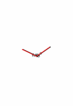 CCCCCCCCCCCCCCCCCCOCCCNC(=O)CN(C)CC(=O)NCCCOCCCCCCCCCCCCCCCCCC